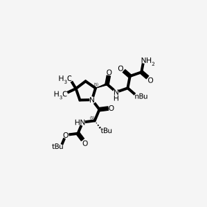 CCCCC(NC(=O)[C@@H]1CC(C)(C)CN1C(=O)[C@@H](NC(=O)OC(C)(C)C)C(C)(C)C)C(=O)C(N)=O